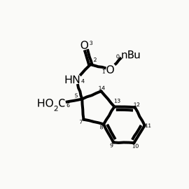 CCCCOC(=O)NC1(C(=O)O)Cc2ccccc2C1